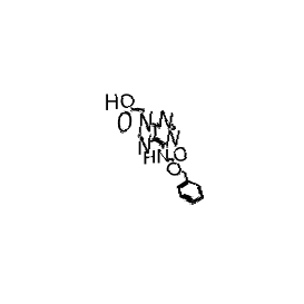 O=C(O)Cn1cnc2c(NC(=O)OCc3ccccc3)ncnc21